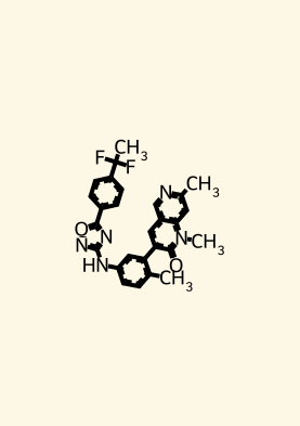 Cc1cc2c(cn1)cc(-c1cc(Nc3noc(-c4ccc(C(C)(F)F)cc4)n3)ccc1C)c(=O)n2C